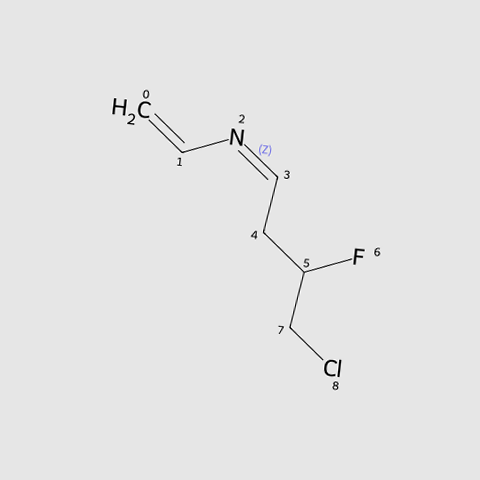 C=C/N=C\CC(F)CCl